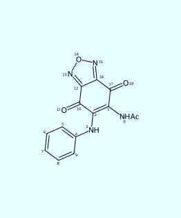 CC(=O)NC1=C(Nc2ccccc2)C(=O)c2nonc2C1=O